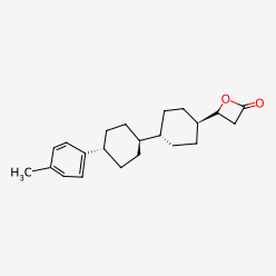 Cc1ccc([C@H]2CC[C@H]([C@H]3CC[C@H](C4CC(=O)O4)CC3)CC2)cc1